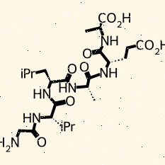 CC(C)C[C@H](NC(=O)[C@@H](NC(=O)CN)C(C)C)C(=O)N[C@@H](C)C(=O)N[C@@H](CCC(=O)O)C(=O)N[C@@H](C)C(=O)O